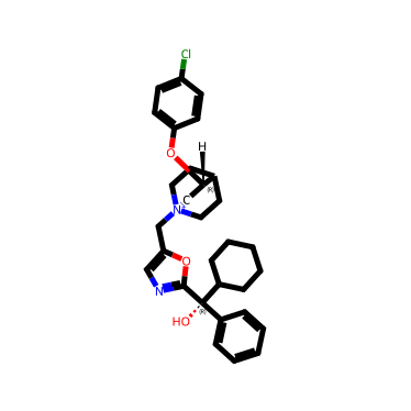 O[C@](c1ccccc1)(c1ncc(C[N+]23CCC(CC2)[C@@H](Oc2ccc(Cl)cc2)C3)o1)C1CCCCC1